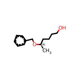 C[C@H](CCCCO)OCc1ccccc1